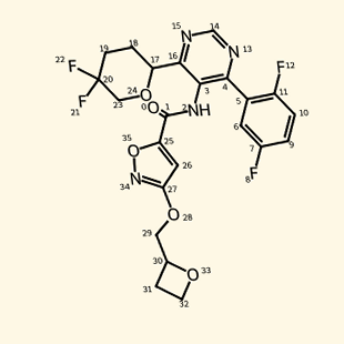 O=C(Nc1c(-c2cc(F)ccc2F)ncnc1C1CCC(F)(F)CO1)c1cc(OCC2CCO2)no1